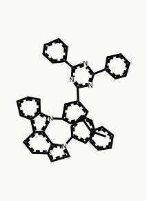 Cc1cccc(-n2ccc3ccc4c5ccccc5n(-c5cc(-c6ccccc6)cc(-c6nc(-c7ccccc7)nc(-c7ccccc7)n6)c5)c4c32)c1